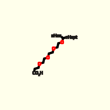 CCCCCCCC(CCCCCC)OCCOCCOCCOCCC(=O)O